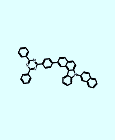 c1ccc(-c2nc(-c3ccccc3)nc(-c3ccc(-c4ccc5ccc6c(c5c4)c4ccccc4n6-c4ccc5ccccc5c4)cc3)n2)cc1